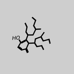 C=C1C=CC(O)=C(C(CCC)CC(C)CCC)C1C(CCC)CC(C)CCC